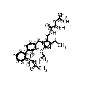 CCOc1nc(CC)c(CNC(=O)[C@@H](S)CC(C)C)n1Cc1ccc(-c2ccccc2S(=O)(=O)NC(C)=O)cc1